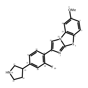 COc1ccc2sc3nc(-c4ccc(C5CCNC5)cc4F)cn3c2c1